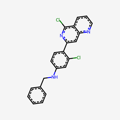 Clc1cc(NCc2ccccc2)ccc1-c1cc2ncccc2c(Cl)n1